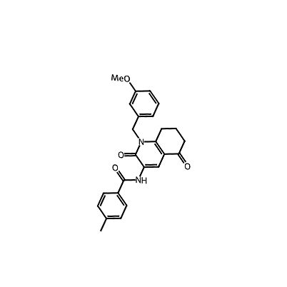 COc1cccc(Cn2c3c(cc(NC(=O)c4ccc(C)cc4)c2=O)C(=O)CCC3)c1